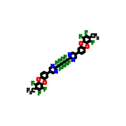 Fc1c(F)c(C(F)(F)F)c(F)c2c1Oc1cc(-c3cnc(C(F)(F)C(F)(F)C(F)(F)C(F)(F)c4ncc(-c5ccc6c(c5)Oc5c(F)c(F)c(C(F)(F)F)c(F)c5O6)cn4)nc3)ccc1O2